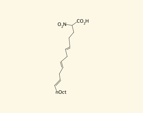 CCCCCCCCC=CCC=CCC=CCCC(C(=O)O)[N+](=O)[O-]